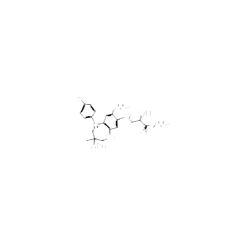 CCCCC1(C)CSc2cc(OCC(O)C(=O)OC)c(SC)cc2N(c2ccc(F)cc2)C1